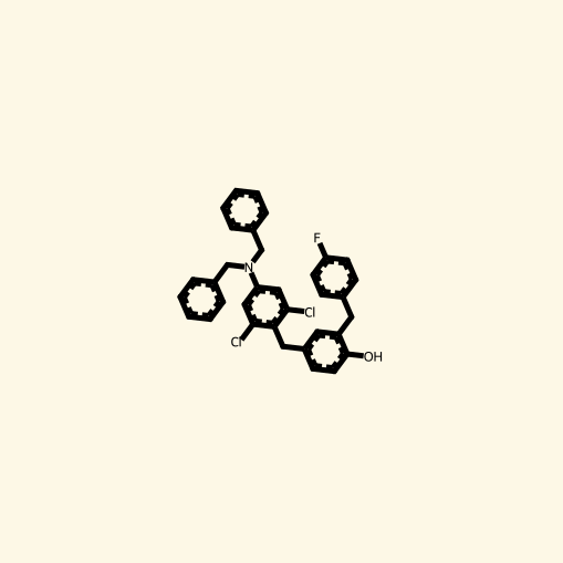 Oc1ccc(Cc2c(Cl)cc(N(Cc3ccccc3)Cc3ccccc3)cc2Cl)cc1Cc1ccc(F)cc1